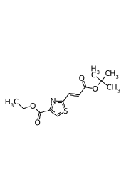 CCOC(=O)c1csc(C=CC(=O)OC(C)(C)C)n1